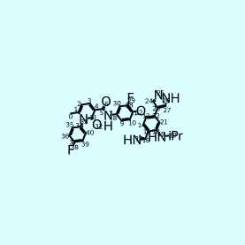 Cc1ccc(C(=O)Nc2ccc(Oc3cc(C=N)c(NC(C)C)cc3-c3cn[nH]c3)c(F)c2)c(=O)n1-c1ccc(F)cc1